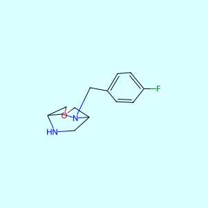 Fc1ccc(CN2CC3COCC2CN3)cc1